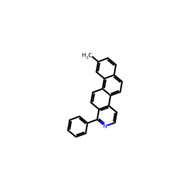 Cc1ccc2ccc3c4ccnc(-c5ccccc5)c4ccc3c2c1